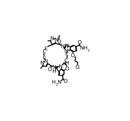 CCn1nc(C)c2c1C(=O)Nc1nc3cc(C(N)=O)cc(OCCCOC)c3n1CCC[C@H]1COc3cc(C(N)=O)cc4nc(n1c34)NC(=O)c1cc(C)nn1CCCCC2